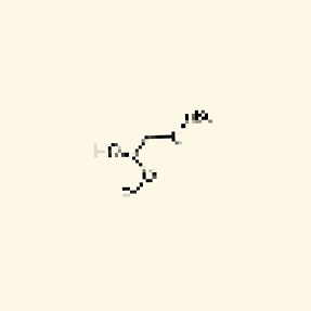 CCCCOCC(O)OCC